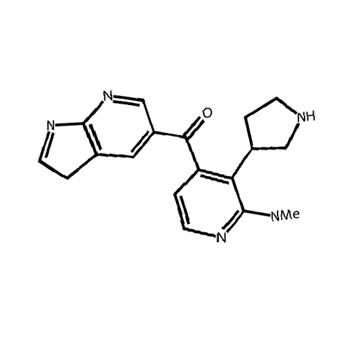 CNc1nccc(C(=O)c2cnc3c(c2)CC=N3)c1C1CCNC1